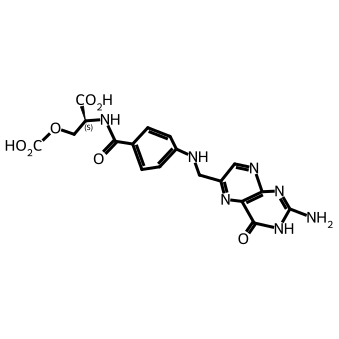 Nc1nc2ncc(CNc3ccc(C(=O)N[C@@H](COC(=O)O)C(=O)O)cc3)nc2c(=O)[nH]1